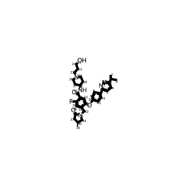 CC(C)c1ccc(-c2ccc(Oc3cc(C(=O)NC4CCN(CCCO)CC4)c(F)cc3CN3C[C@@H](C)CC3=O)cc2)nn1